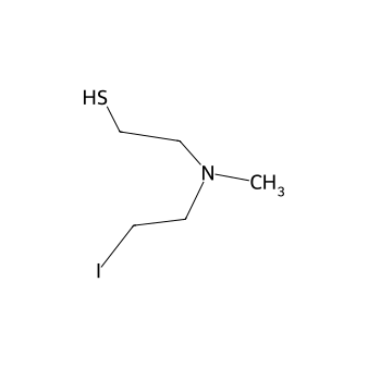 CN(CCS)CCI